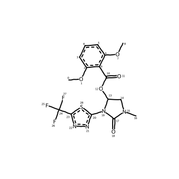 COc1cccc(OC)c1C(=O)OC1CN(C)C(=O)N1c1nnc(C(F)(F)F)s1